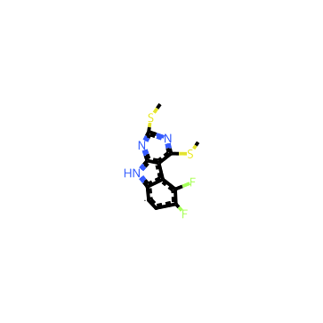 CSc1nc(SC)c2c(n1)[nH]c1[c]cc(F)c(F)c12